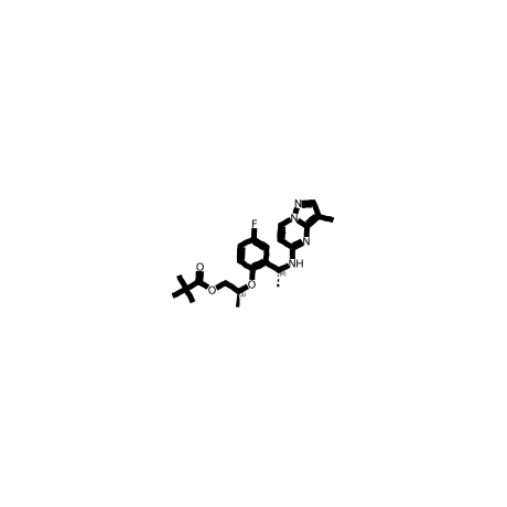 Cc1cnn2ccc(N[C@H](C)c3cc(F)ccc3O[C@@H](C)COC(=O)C(C)(C)C)nc12